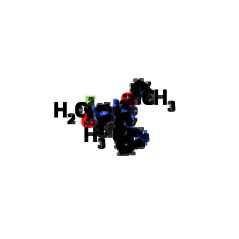 C=C(F)C(=O)N1CCN(c2nc(OC[C@@H]3CCCN3C)nc3c2CCN(c2cncc4cccc([13CH3])c24)C3)C[C@@H]1CC#N